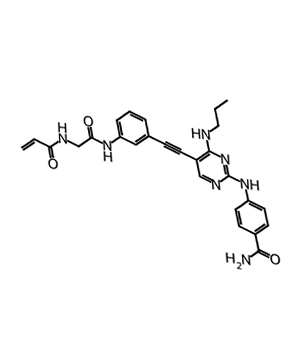 C=CC(=O)NCC(=O)Nc1cccc(C#Cc2cnc(Nc3ccc(C(N)=O)cc3)nc2NCCC)c1